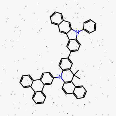 CC1(C)c2cc(-c3ccc4c(c3)c3cc5ccccc5cc3n4-c3ccccc3)ccc2N(c2ccc3c4ccccc4c4ccccc4c3c2)c2ccc3ccccc3c21